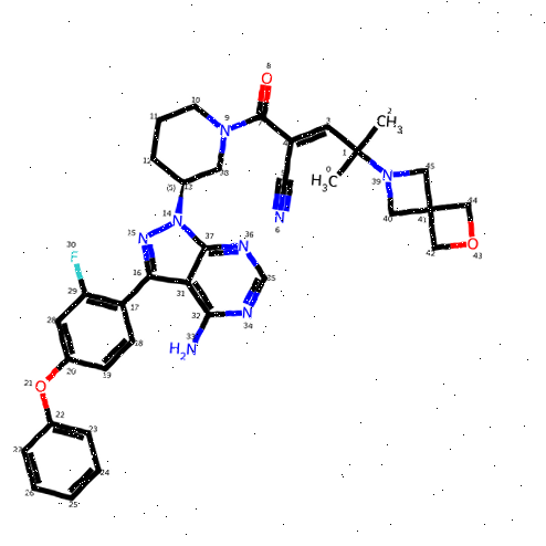 CC(C)(C=C(C#N)C(=O)N1CCC[C@H](n2nc(-c3ccc(Oc4ccccc4)cc3F)c3c(N)ncnc32)C1)N1CC2(COC2)C1